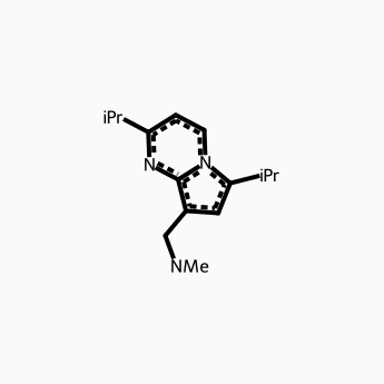 CNCc1cc(C(C)C)n2ccc(C(C)C)nc12